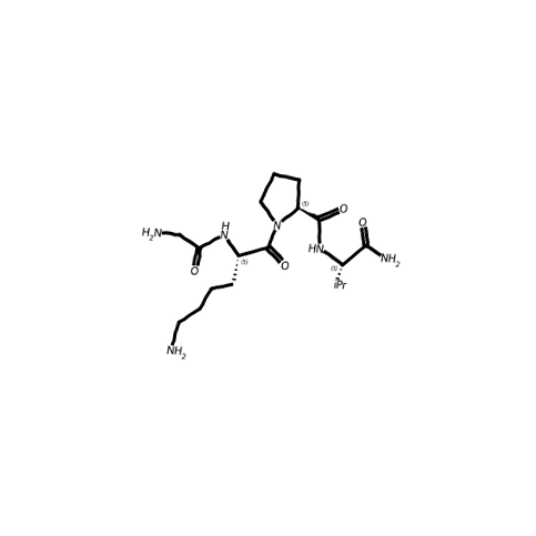 CC(C)[C@H](NC(=O)[C@@H]1CCCN1C(=O)[C@H](CCCCN)NC(=O)CN)C(N)=O